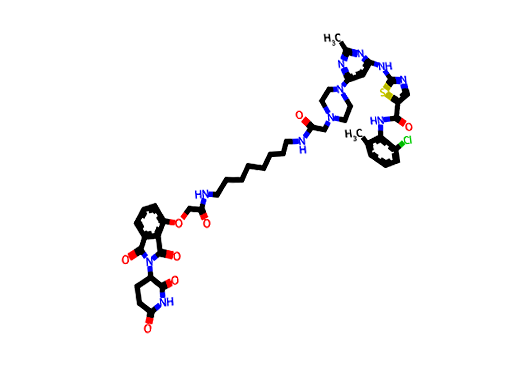 Cc1nc(Nc2ncc(C(=O)Nc3c(C)cccc3Cl)s2)cc(N2CCN(CC(=O)NCCCCCCCCNC(=O)COc3cccc4c3C(=O)N(C3CCC(=O)NC3=O)C4=O)CC2)n1